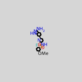 COc1ccc(F)c(S(=O)(=O)Nc2ccc(-c3ccc4c(N)n[nH]c4c3)nc2)c1